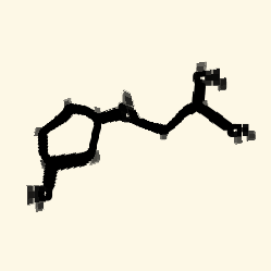 CC(C)COC1CCC(O)C1